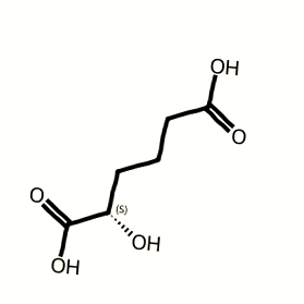 O=C(O)CCC[C@H](O)C(=O)O